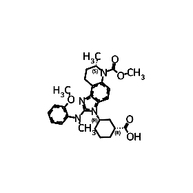 COC(=O)N1c2ccc3c(nc(N(C)c4ccccc4OC)n3[C@@H]3CCC[C@@H](C(=O)O)C3)c2CC[C@@H]1C